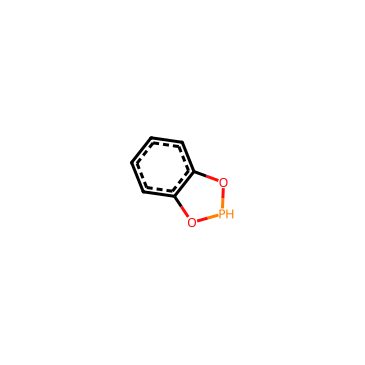 c1ccc2c(c1)OPO2